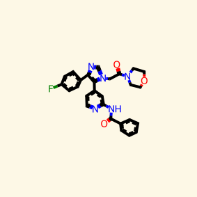 O=C(Nc1cc(-c2c(-c3ccc(F)cc3)ncn2CC(=O)N2CCOCC2)ccn1)c1ccccc1